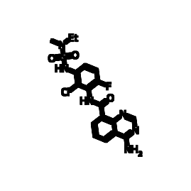 CCN(C)S(=O)(=O)Nc1ccc(F)c(NC(=O)c2cccc3c(N)ncnc23)c1Cl